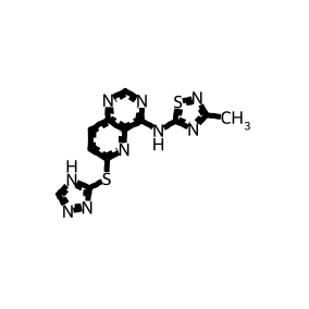 Cc1nsc(Nc2ncnc3ccc(Sc4nnc[nH]4)nc23)n1